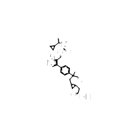 CC(C1CC1)N(C)C(=O)OCc1c(-c2ccc(C3(C)COC4(CC(=O)O)CC4C3)cc2)cnn1C